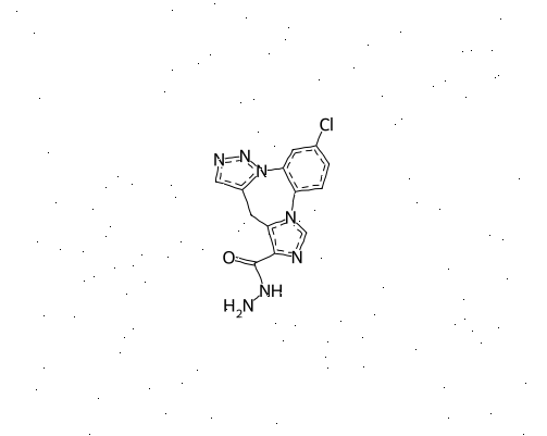 NNC(=O)c1ncn2c1Cc1cnnn1-c1cc(Cl)ccc1-2